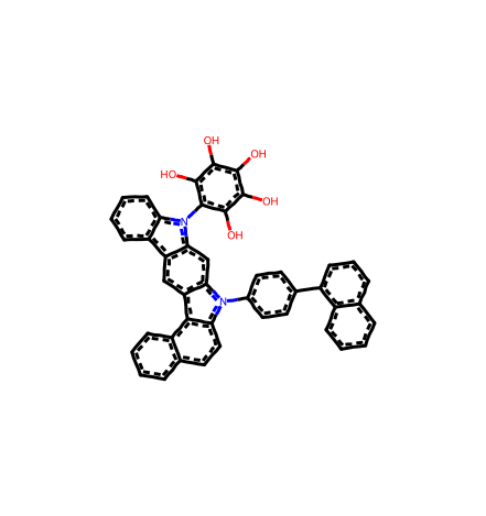 Oc1c(O)c(O)c(-n2c3ccccc3c3cc4c5c6ccccc6ccc5n(-c5ccc(-c6cccc7ccccc67)cc5)c4cc32)c(O)c1O